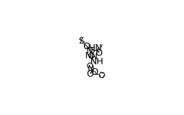 CCNC(=O)c1cn(COCCS(C)(C)C)c2ncc(N[C@H]3CC[C@@H](C)N(C(=O)OCc4ccccc4)C3)nc12